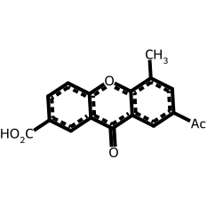 CC(=O)c1cc(C)c2oc3ccc(C(=O)O)cc3c(=O)c2c1